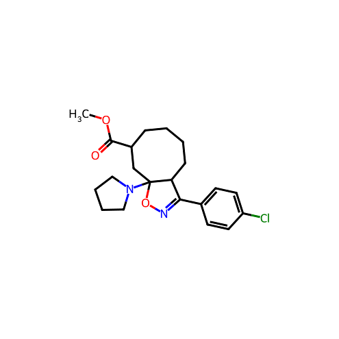 COC(=O)C1CCCCC2C(c3ccc(Cl)cc3)=NOC2(N2CCCC2)C1